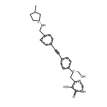 CN1CC[C@@H](NCc2ccc(C#Cc3ccc([C@H](CO)Cc4nc[nH]c(=O)c4O)cc3)cc2)C1